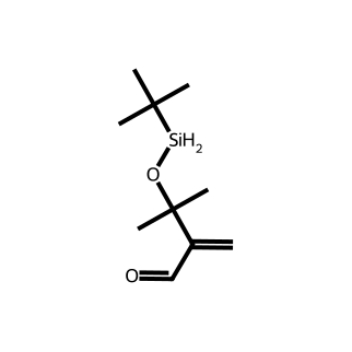 C=C(C=O)C(C)(C)O[SiH2]C(C)(C)C